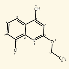 CCOc1cc(O)c2cccc(Cl)c2n1